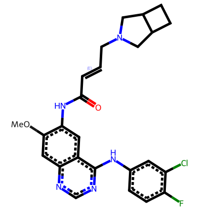 COc1cc2ncnc(Nc3ccc(F)c(Cl)c3)c2cc1NC(=O)/C=C/CN1CC2CCC2C1